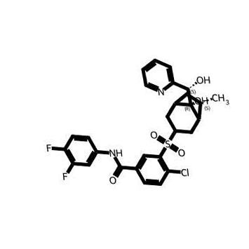 C[C@H]1CC2CC(S(=O)(=O)c3cc(C(=O)Nc4ccc(F)c(F)c4)ccc3Cl)CC1[C@@]2(O)[C@@H](O)c1ccccn1